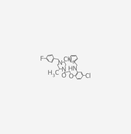 CC1CN(C(=O)COc2ccc(Cl)cc2NCc2ccccc2)C(C)CN1Cc1ccc(F)cc1